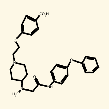 CN(CC(=O)Nc1ccc(Oc2ccccc2)cc1)C1CCN(CCOc2ccc(C(=O)O)cc2)CC1